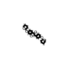 O=C(Cc1ccc(OC2CCCCO2)cc1)c1ccc(OC2CCCCO2)cc1O